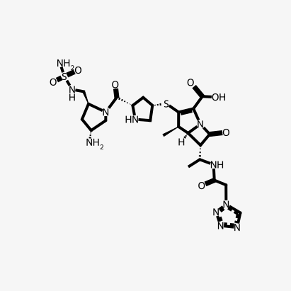 CC(NC(=O)Cn1cnnn1)[C@H]1C(=O)N2C(C(=O)O)=C(S[C@@H]3CN[C@H](C(=O)N4C[C@H](N)C[C@H]4CNS(N)(=O)=O)C3)[C@H](C)[C@H]12